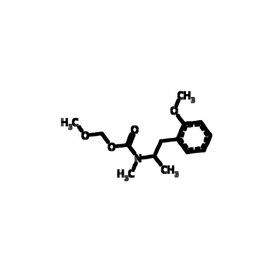 COCOC(=O)N(C)C(C)Cc1ccccc1OC